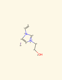 C=Cn1cc[n+](CCO)c1.[I-]